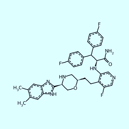 Cc1cc2nc([C@@H]3CO[C@H](CCc4c(F)cncc4N[C@H](C(N)=O)C(c4ccc(F)cc4)c4ccc(F)cc4)CN3)[nH]c2cc1C